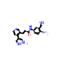 N=C/C(=C\N)c1ccncc1/C=C/C(=O)Nc1ccc(N)c(C=N)c1